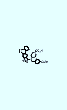 COc1ccc(CN(c2n[nH]c3cc(Cl)c(-c4ccccc4Cl)cc23)C2CCN(C(=O)O)CC2)cc1